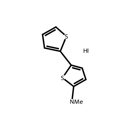 CNc1ccc(-c2cccs2)s1.I